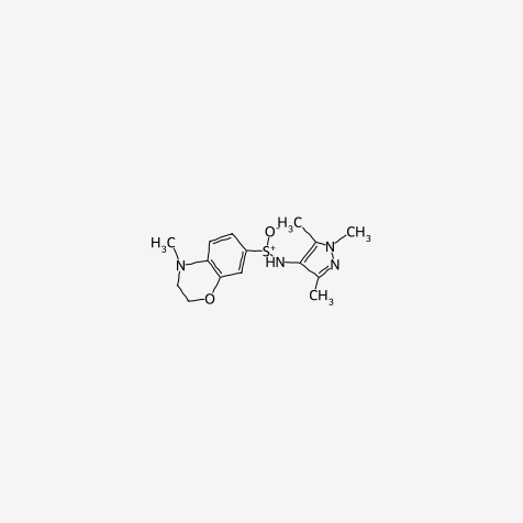 Cc1nn(C)c(C)c1N[S+]([O-])c1ccc2c(c1)OCCN2C